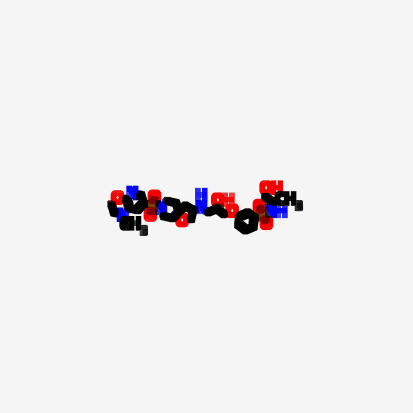 CC(CO)NS(=O)(=O)c1cccc(OC[C@@H](O)CNC2COC3(CCN(S(=O)(=O)c4cnc5c(c4)N(C)CCO5)CC3)C2)c1